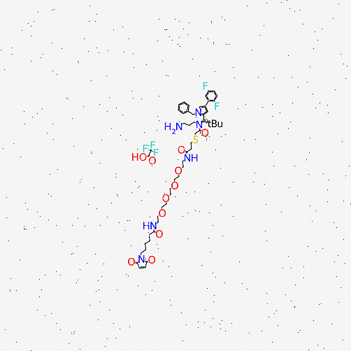 CC(C)(C)[C@H](c1cc(-c2cc(F)ccc2F)cn1Cc1ccccc1)N(CCCN)C(=O)CSCCC(=O)NCCOCCOCCOCCOCCNC(=O)CCCCCN1C(=O)C=CC1=O.O=C(O)C(F)(F)F